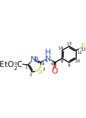 CCOC(=O)c1csc(NC(=O)c2ccc(F)cc2)n1